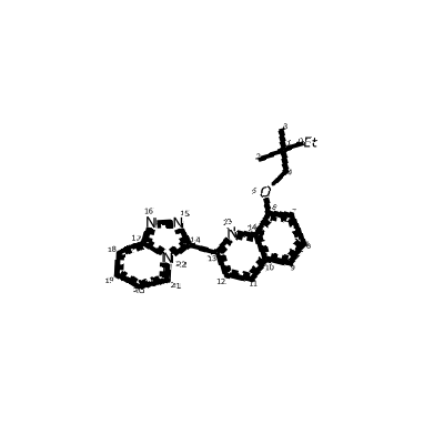 CCC(C)(C)COc1cccc2ccc(-c3nnc4ccccn34)nc12